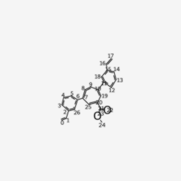 C=Cc1cccc(C2=C=CC(c3cccc(C=C)c3)=CC(C(=O)OC)=C2)c1